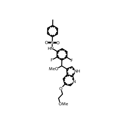 COCCOc1cnc2[nH]cc(C(OC)c3c(F)ccc(NS(=O)(=O)c4ccc(C)cc4)c3F)c2c1